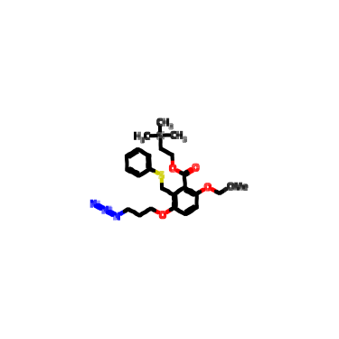 COCOc1ccc(OCCCN=[N+]=[N-])c(CSc2ccccc2)c1C(=O)OCC[Si](C)(C)C